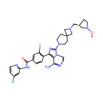 CON1CC[C@H](CN2CC3(CCN(c4nc(-c5ccc(C(=O)Nc6cc(Cl)ccn6)cc5F)c5c(N)nccn45)CC3)C2)C1